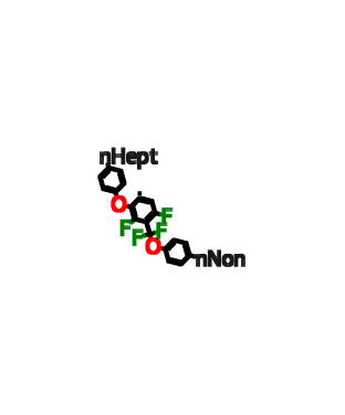 CCCCCCCCCc1ccc(OC(F)(F)c2c(F)c[c]c(Oc3ccc(CCCCCCC)cc3)c2F)cc1